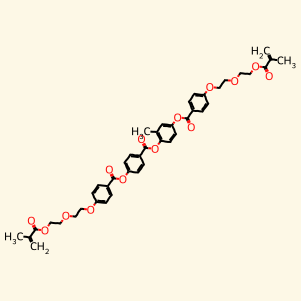 C=C(C)C(=O)OCCOCCOc1ccc(C(=O)Oc2ccc(C(=O)Oc3ccc(OC(=O)c4ccc(OCCOCCOC(=O)C(=C)C)cc4)cc3C)cc2)cc1